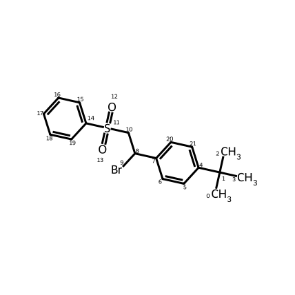 CC(C)(C)c1ccc(C(Br)CS(=O)(=O)c2ccccc2)cc1